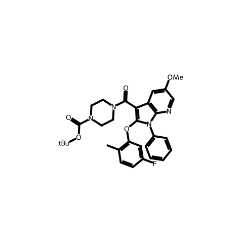 COc1cnc2c(c1)c(C(=O)N1CCN(C(=O)OC(C)(C)C)CC1)c(Oc1cc(F)ccc1C)n2-c1ccccc1